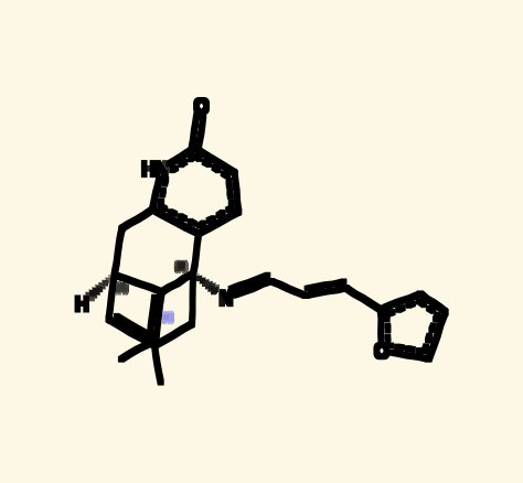 C/C=C1\[C@H]2C=C(C)C[C@]1(N=CC=Cc1ccco1)c1ccc(=O)[nH]c1C2